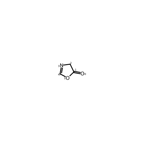 O=C1CN=[C]O1